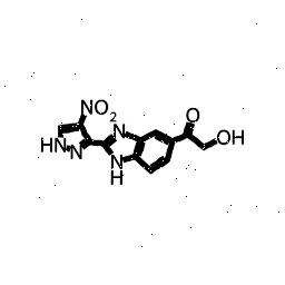 O=C(CO)c1ccc2[nH]c(-c3n[nH]cc3[N+](=O)[O-])nc2c1